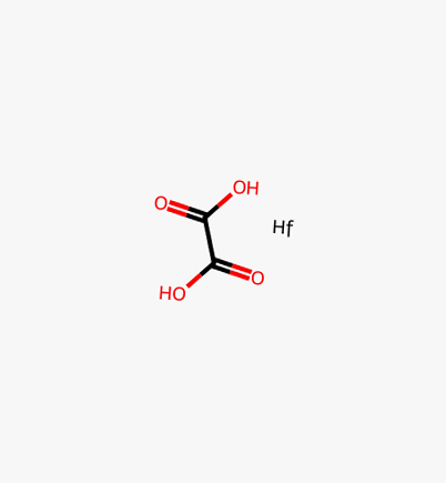 O=C(O)C(=O)O.[Hf]